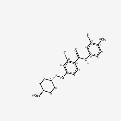 CCCCCCCC[C@H]1CC[C@H](COc2ccc(C(=O)Oc3ccc(C#N)c(F)c3)c(F)c2)CC1